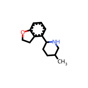 CC1CCC(c2cccc3c2CCO3)NC1